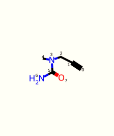 C#CCN(C)C(N)=O